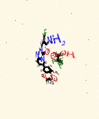 NC/C(=C\F)Cn1nc2ccc(-c3ccc4c(c3)OCCO4)cn2c1=O.O=C(O)C(F)(F)F